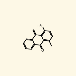 C=C1c2ccccc2C(=O)c2c(C)ccc(CCC)c21